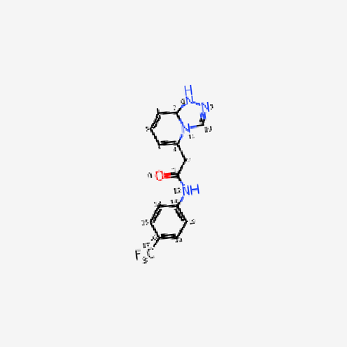 O=C(CC1=CC=CC2NN=CN12)Nc1ccc(C(F)(F)F)cc1